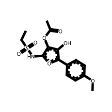 CCS(=O)(=O)Nc1oc(-c2ccc(OC)cc2)c(O)c1OC(C)=O